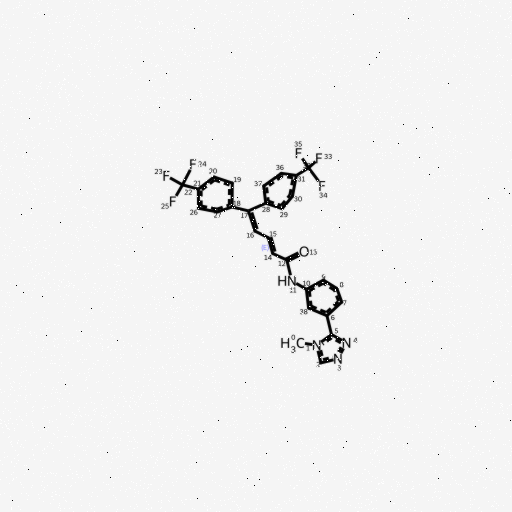 Cn1cnnc1-c1cccc(NC(=O)/C=C/C=C(c2ccc(C(F)(F)F)cc2)c2ccc(C(F)(F)F)cc2)c1